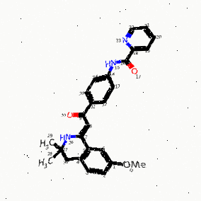 COc1ccc2c(c1)C(=CC(=O)c1ccc(NC(=O)c3ccccn3)cc1)NC(C)(C)C2